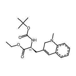 CCOC(=O)[C@H](CC1=Cc2ccccc2N(C)C1)NC(=O)OC(C)(C)C